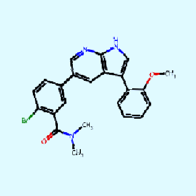 COc1ccccc1-c1c[nH]c2ncc(-c3ccc(Br)c(C(=O)N(C)C)c3)cc12